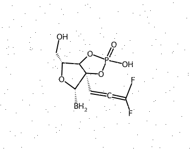 B[C@@H]1O[C@H](CO)C2OP(=O)(O)O[C@]21C=C=C(F)F